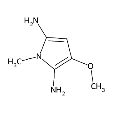 COc1cc(N)n(C)c1N